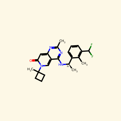 Cc1nc(N[C@H](C)c2cccc(C(F)F)c2C)c2cn(C3(C)CCC3)c(=O)cc2n1